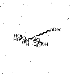 CCCCCCCCCCCCCCCCCCN(CCCNC(=O)OC(CO)CO)C(=O)OC(CO)CO